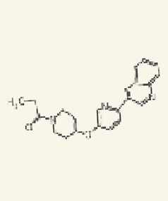 CCC(=O)N1CCC(Oc2ccc(-c3cnc4ccccc4c3)nc2)CC1